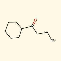 CC(C)CCC(=O)C1CCCCC1